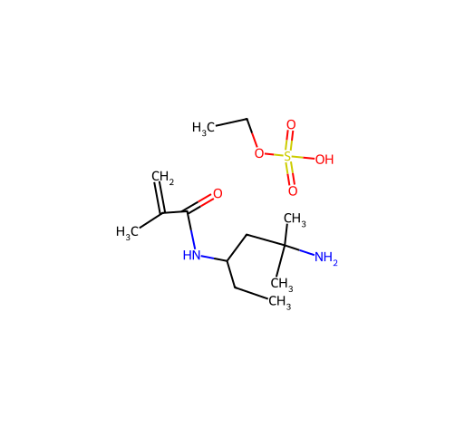 C=C(C)C(=O)NC(CC)CC(C)(C)N.CCOS(=O)(=O)O